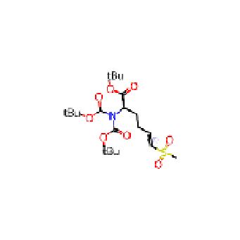 CC(C)(C)OC(=O)C(CC/C=C/S(C)(=O)=O)N(C(=O)OC(C)(C)C)C(=O)OC(C)(C)C